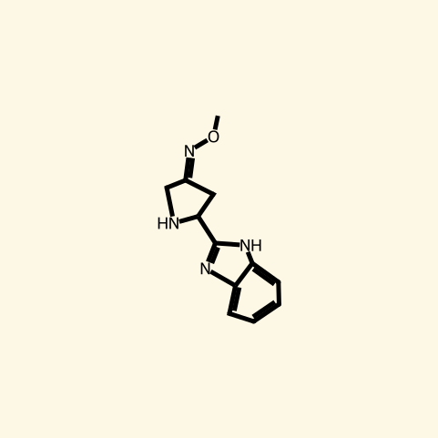 CON=C1CNC(c2nc3ccccc3[nH]2)C1